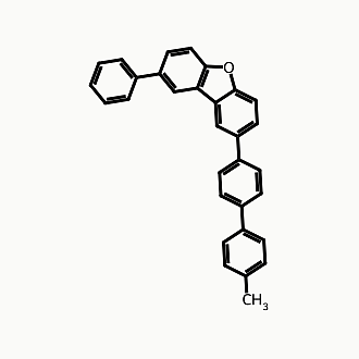 Cc1ccc(-c2ccc(-c3ccc4oc5ccc(-c6ccccc6)cc5c4c3)cc2)cc1